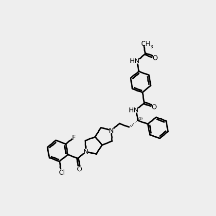 CC(=O)Nc1ccc(C(=O)N[C@@H](CCN2CC3CN(C(=O)c4c(F)cccc4Cl)CC3C2)c2ccccc2)cc1